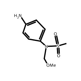 COCN(c1ccc(N)cc1)S(C)(=O)=O